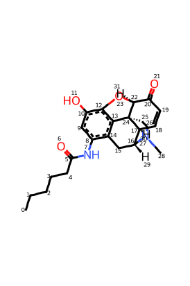 CCCCCC(=O)Nc1cc(O)c2c3c1C[C@@H]1[C@@H]4C=CC(=O)[C@H](O2)[C@]34CCN1C